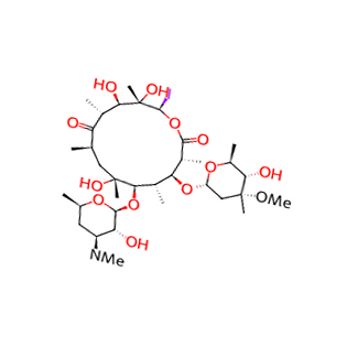 CN[C@H]1C[C@@H](C)O[C@@H](O[C@@H]2[C@@H](C)[C@H](O[C@H]3C[C@@](C)(OC)[C@@H](O)[C@H](C)O3)[C@@H](C)C(=O)O[C@H](I)[C@@](C)(O)[C@H](O)[C@@H](C)C(=O)[C@H](C)C[C@@]2(C)O)[C@@H]1O